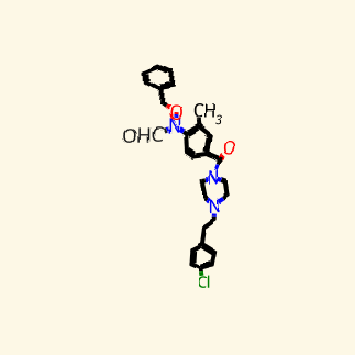 Cc1cc(C(=O)N2CCN(CCc3ccc(Cl)cc3)CC2)ccc1N(C=O)OCc1ccccc1